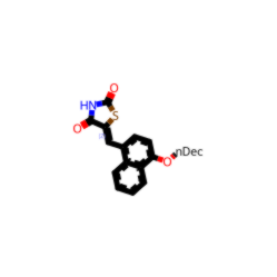 CCCCCCCCCCOc1ccc(/C=C2\SC(=O)NC2=O)c2ccccc12